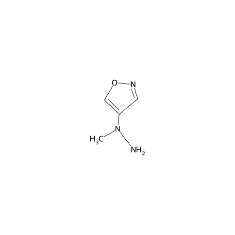 CN(N)c1cnoc1